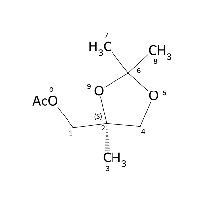 CC(=O)OC[C@]1(C)COC(C)(C)O1